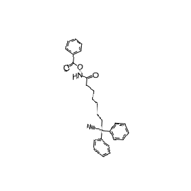 N#CC(CCCCCCC(=O)NOC(=O)c1ccccc1)(c1ccccc1)c1ccccc1